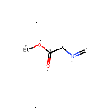 C=NCC(=O)OCC